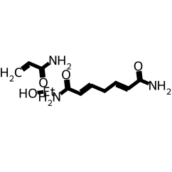 C=CC(N)=O.CCO.NC(=O)C=CCC=CC(N)=O